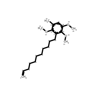 C=CCCCCCCCCCc1c(OC)c(C)cc(OC)c1OC